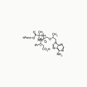 CCCCCOC(=O)C(C)(C)NP(=O)(COC(C)Cn1cnc2c(N)ncnc21)N[C@@H](CC(=O)O)C(C)C